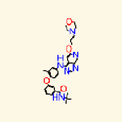 Cc1cc(Nc2ncnc3cnc(OCCCN4CCOCC4)cc23)ccc1Oc1cccc(C(=O)NC(C)(C)C)c1